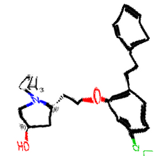 CN1C[C@H](O)C[C@H]1CCOc1cc(Cl)ccc1CCc1ccccc1.Cl